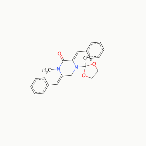 CN1C(=O)C(=Cc2ccccc2)N(C2(C)OCCO2)CC1=Cc1ccccc1